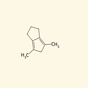 CC1=C2CCCC2=C(C)C1